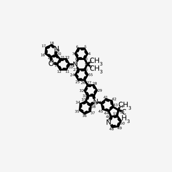 CC1(C)c2ccccc2N(c2ccc3oc4cccnc4c3c2)c2ccc(-c3ccc4c(c3)c3ccccc3n4-c3ccc4c(c3)-c3ncccc3C4(C)C)cc21